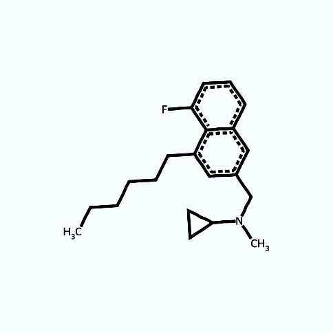 CCCCCCc1cc(CN(C)C2CC2)cc2cccc(F)c12